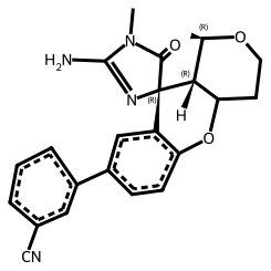 C[C@H]1OCCC2Oc3ccc(-c4cccc(C#N)c4)cc3[C@]3(N=C(N)N(C)C3=O)[C@@H]21